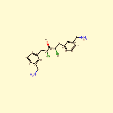 NCc1cccc(CC(Br)C(=O)C(Br)Cc2cccc(CN)c2)c1